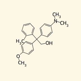 COc1ccc(C(CO)(c2ccc(N(C)C)cc2)c2ccccc2C)cc1